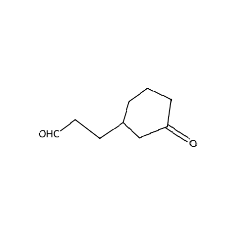 O=CCCC1CCCC(=O)C1